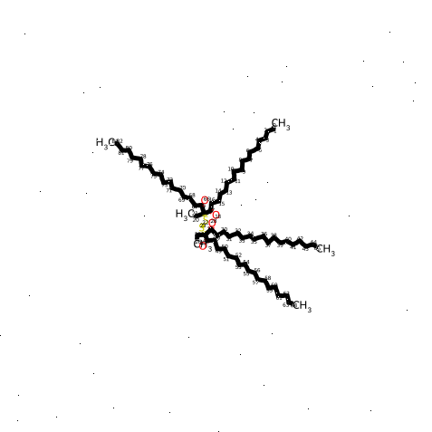 CCCCCCCCCCCCCCCCCC(=O)C(CC)(SSC(CC)(C(=O)CCCCCCCCCCCCCCCCC)C(=O)CCCCCCCCCCCCCCCCC)C(=O)CCCCCCCCCCCCCCCCC